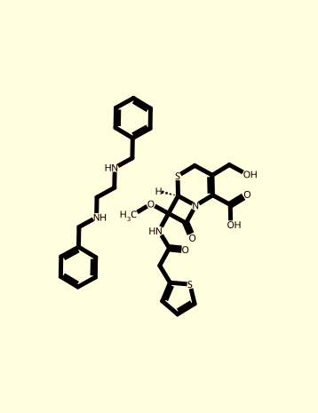 COC1(NC(=O)Cc2cccs2)C(=O)N2C(C(=O)O)=C(CO)CS[C@@H]21.c1ccc(CNCCNCc2ccccc2)cc1